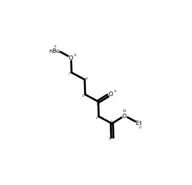 C=C(CC(=O)CCCOCCCC)OCC